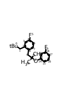 CC(C)(C)Cc1cc(F)ccc1CC(C)(C)Oc1cccc(F)c1